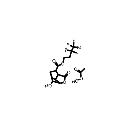 CC(=O)OO.O=C(OCCC(F)(F)C(F)(F)Br)C1C2CC3C(OC(=O)C31)C2O